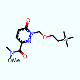 CON(C)C(=O)c1ccc(=O)n(COCC[Si](C)(C)C)n1